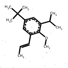 CC=Cc1cc(C(C)(C)C)cc(C(C)C)c1OC